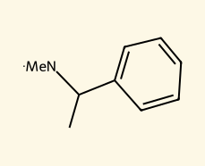 C[N]C(C)c1ccccc1